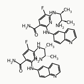 C[C@H](N)[C@@H](C)Nc1nc(Nc2ccc3ncccc3c2)c(C(N)=O)cc1F.C[C@H](Nc1nc(Nc2ccc3ncccc3c2)c(C(N)=O)cc1F)[C@@H](C)N